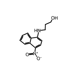 O=[N+]([O-])c1ccc(NCCCO)c2ccccc12